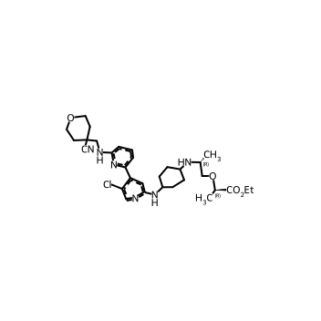 CCOC(=O)[C@@H](C)OC[C@@H](C)NC1CCC(Nc2cc(-c3cccc(NCC4(C#N)CCOCC4)n3)c(Cl)cn2)CC1